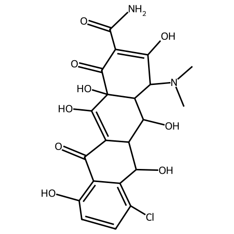 CN(C)C1C(O)=C(C(N)=O)C(=O)C2(O)C(O)=C3C(=O)c4c(O)ccc(Cl)c4C(O)C3C(O)C12